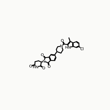 Cc1c(C(=O)N2CCC(c3ccc4c(c3)C(=O)N(C3CCC(=O)NC3=O)C4=O)CC2)[nH]c2cc(Cl)ccc12